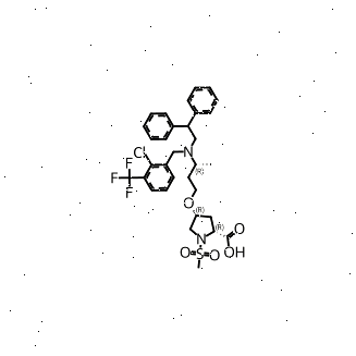 C[C@H](CCO[C@@H]1C[C@H](C(=O)O)N(S(C)(=O)=O)C1)N(Cc1cccc(C(F)(F)F)c1Cl)CC(c1ccccc1)c1ccccc1